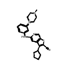 CN1CCN(c2cccc(Nc3cc4c(C5CCCC5)c(C#N)sc4cn3)c2)CC1